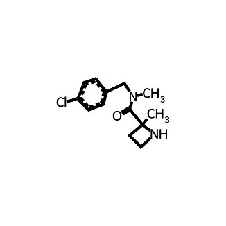 CN(Cc1ccc(Cl)cc1)C(=O)C1(C)CCN1